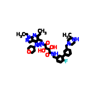 CCc1nc2c(cnn2CC)c(NC2CCOCC2)c1CNC(=O)C(O)C(O)C(=O)NCc1ccc(F)c(-c2cccc(CN3CCN[C@@H](C)C3)c2)c1